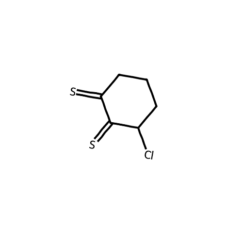 S=C1CCCC(Cl)C1=S